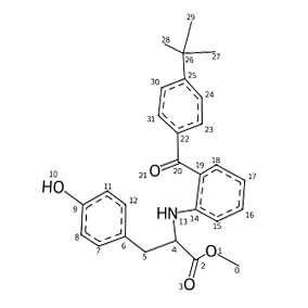 COC(=O)C(Cc1ccc(O)cc1)Nc1ccccc1C(=O)c1ccc(C(C)(C)C)cc1